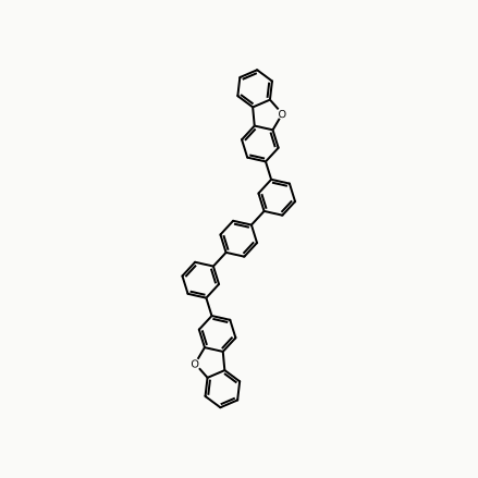 c1cc(-c2ccc(-c3cccc(-c4ccc5c(c4)oc4ccccc45)c3)cc2)cc(-c2ccc3c(c2)oc2ccccc23)c1